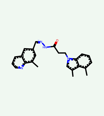 Cc1cc(/C=N\NC(=O)CCn2cc(C)c3c(C)cccc32)cc2cccnc12